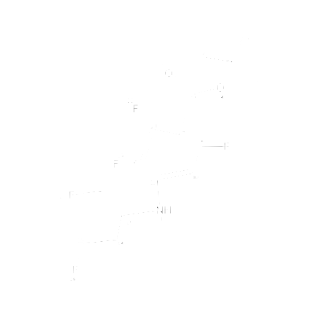 CC(C)(C)OC(=O)c1c(F)cc(NC(CCF)C(F)F)cc1F